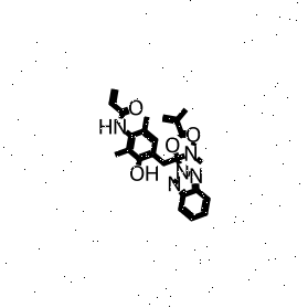 C=CC(=O)Nc1c(C)cc(CC(OC(=O)C(=C)C)(N(C)C)n2nc3ccccc3n2)c(O)c1C